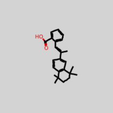 CC(=Cc1ccccc1C(=O)O)c1ccc2c(c1)C(C)(C)CCC2(C)C